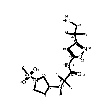 CN(C1CCN(S(C)(=O)=O)C1)C(C)(C)C(=O)Nc1cc(C(C)(C)CO)no1